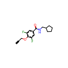 C#CCOc1c(F)cc(C(=O)NCC2CCCC2)cc1F